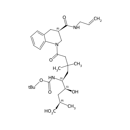 C=CCNC(=O)[C@@H]1Cc2ccccc2N(C(=O)CC(C)(C)C[C@H](NC(=O)OC(C)(C)C)[C@@H](O)C[C@@H](C)C(=O)O)C1